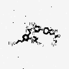 CCCCc1ccc([C@@H](Oc2cc(N3CCC4(CC3)CN[C@H](C(=O)OCC)C4)nc(N)n2)C(F)(F)F)c(-n2ccc(C)n2)c1